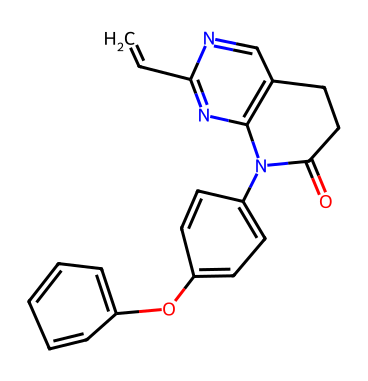 C=Cc1ncc2c(n1)N(c1ccc(Oc3ccccc3)cc1)C(=O)CC2